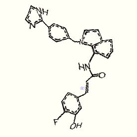 O=C(/C=C/c1ccc(F)c(O)c1)Nc1cccc2ccn(Cc3ccc(-c4ncc[nH]4)cc3)c12